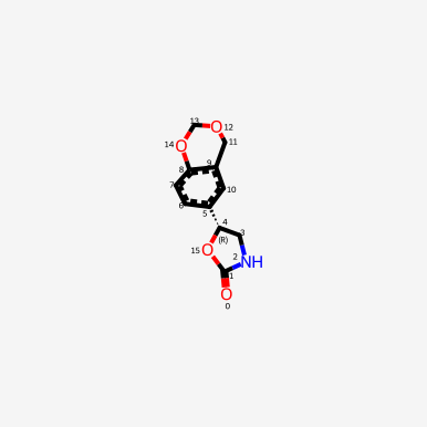 O=C1NC[C@@H](c2ccc3c(c2)COCO3)O1